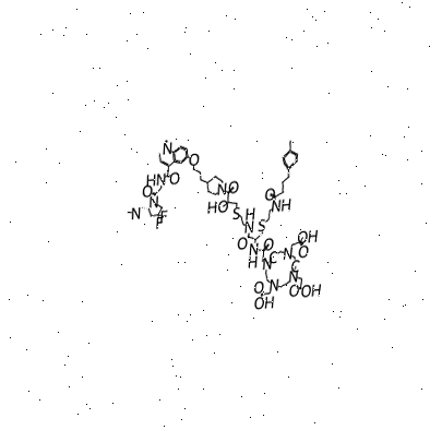 C=Nc1ccc(OCCCC2CCN(C(=O)[C@H](O)CSCCNC(=O)C(CSCCNC(=O)CCCc3ccc(C)cc3)NC(=O)CN3CCN(CC(=O)O)CCN(CC(=O)O)CCN(CC(=O)O)CC3)CC2)cc1/C(=C\C)C(=O)NCC(=O)N1CC(F)(F)C[C@@H]1/C=N/C